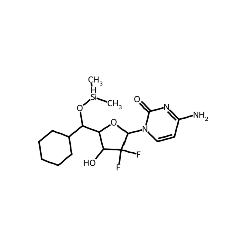 C[SiH](C)OC(C1CCCCC1)C1OC(n2ccc(N)nc2=O)C(F)(F)C1O